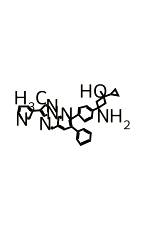 Cc1nn2c(ncc3cc(-c4ccccc4)c(-c4ccc(C5(N)CC(O)(C6CC6)C5)cc4)nc32)c1-c1cccnc1